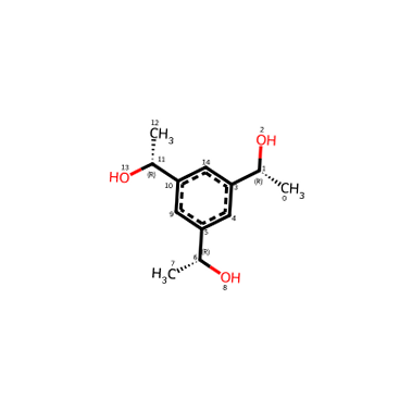 C[C@@H](O)c1cc([C@@H](C)O)cc([C@@H](C)O)c1